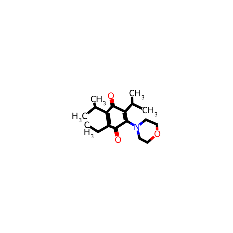 CCC1=C(C(C)C)C(=O)C(C(C)C)=C(N2CCOCC2)C1=O